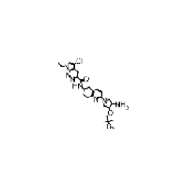 CCn1cc(Cl)c2cc(C(=O)NC3CCc4nc(N5CC(N)C(OCC(C)(C)OC)C5)ccc4C3)nnc21